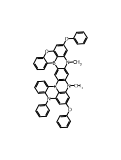 CN1c2cc3c(cc2B2c4ccccc4Oc4cc(Oc5ccccc5)cc1c42)B1c2ccccc2N(c2ccccc2)c2cc(Oc4ccccc4)cc(c21)N3C